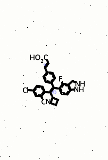 N#Cc1cc(Cl)ccc1/C(=C(\c1ccc(/C=C/C(=O)O)cc1)c1ccc2c(c1F)CNN2)C1CCC1